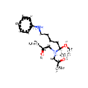 CCOC(=O)[C@](CCCCNc1ccccc1)(OCC)N(CC(=O)OC)CC(=O)OC